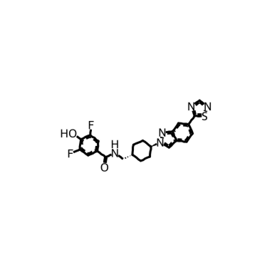 O=C(NC[C@H]1CC[C@H](n2cc3ccc(-c4ncns4)cc3n2)CC1)c1cc(F)c(O)c(F)c1